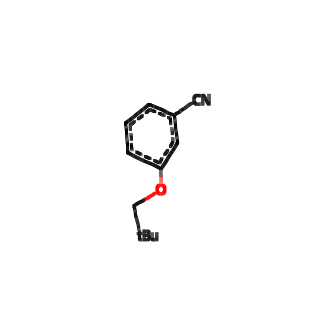 CC(C)(C)COc1cccc(C#N)c1